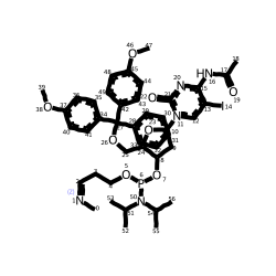 C/N=C\CCOP(OC1CC(n2cc(I)c(NC(C)=O)nc2=O)OC1COC(c1ccccc1)(c1ccc(OC)cc1)c1ccc(OC)cc1)N(C(C)C)C(C)C